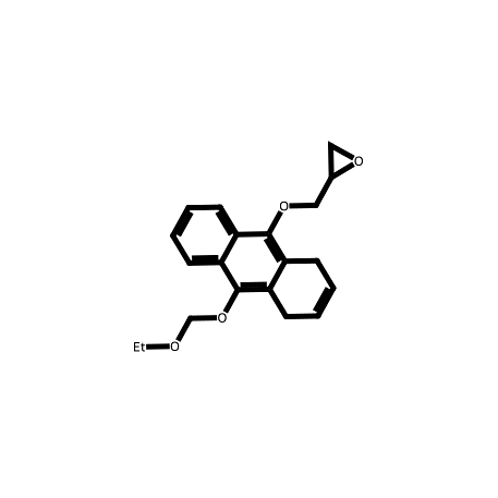 CCOCOc1c2c(c(OCC3CO3)c3ccccc13)CC=CC2